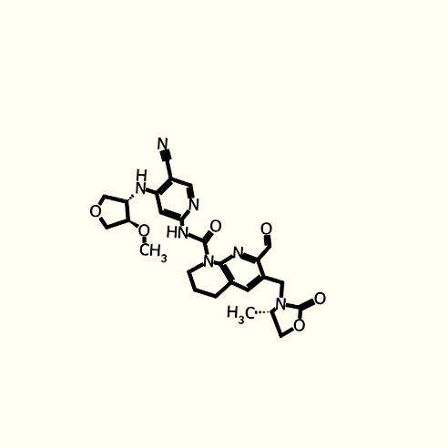 CO[C@H]1COC[C@@H]1Nc1cc(NC(=O)N2CCCc3cc(CN4C(=O)OC[C@@H]4C)c(C=O)nc32)ncc1C#N